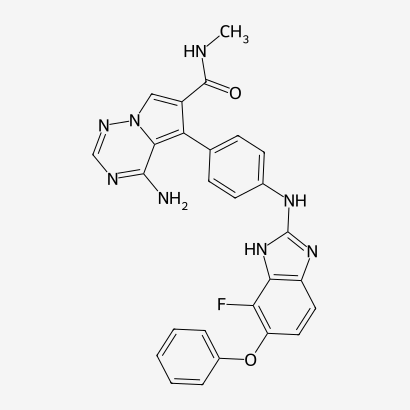 CNC(=O)c1cn2ncnc(N)c2c1-c1ccc(Nc2nc3ccc(Oc4ccccc4)c(F)c3[nH]2)cc1